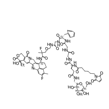 CC[C@@]1(O)C(=O)OCc2c1cc1n(c2=O)Cc2c-1nc1cc(F)c(C)c3c1c2[C@@H](NC(=O)C(C)(F)COCNC(=O)CNC(=O)[C@H](Cc1ccccc1)NC(=O)CNC(=O)CNC(=O)[C@H](CCC(=O)NC[C@@H]1O[C@H](CO)[C@@H](O)[C@H](O)[C@H]1O)NC(=O)CCCCCN1C(=O)C=CC1=O)CC3